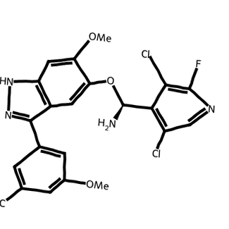 COc1cc(C#N)cc(-c2n[nH]c3cc(OC)c(O[C@H](N)c4c(Cl)cnc(F)c4Cl)cc23)c1